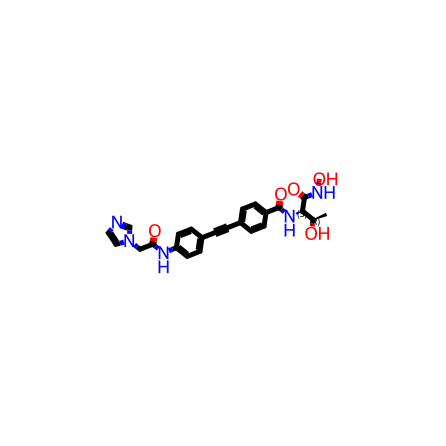 C[C@@H](O)[C@H](NC(=O)c1ccc(C#Cc2ccc(NC(=O)Cn3ccnc3)cc2)cc1)C(=O)NO